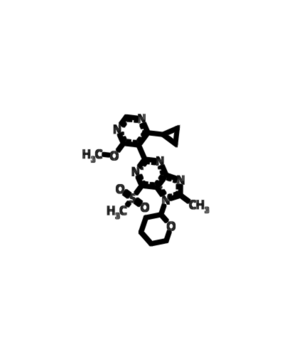 COc1ncnc(C2CC2)c1-c1nc(S(C)(=O)=O)c2c(n1)nc(C)n2C1CCCCO1